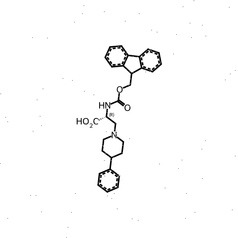 O=C(N[C@H](CN1CCC(c2ccccc2)CC1)C(=O)O)OCC1c2ccccc2-c2ccccc21